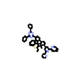 C=CC1=C(C=C)C2(c3ccccc3S1)c1cc(-c3cc(-c4ccccn4)nc(-c4ccccn4)c3)ccc1-c1ccc(-c3nc(-c4ccccc4)nc(-c4ccccc4)n3)cc12